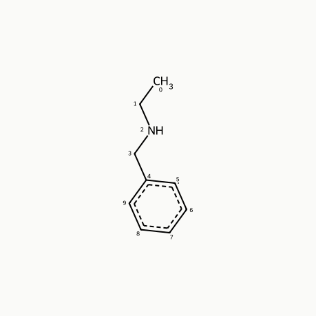 CCNCc1[c]cccc1